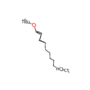 CCCCCCCCCCCCCCCC=COCCCC